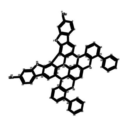 CC(C)(C)c1ccc2c(c1)oc1c2cc2c3c1c1c4oc5cc(C(C)(C)C)ccc5c4cc4c1n3-c1c3c(cc5c1B4c1cccc(-c4ccccc4)c1S5)Sc1c(cccc1-c1ccccc1)B32